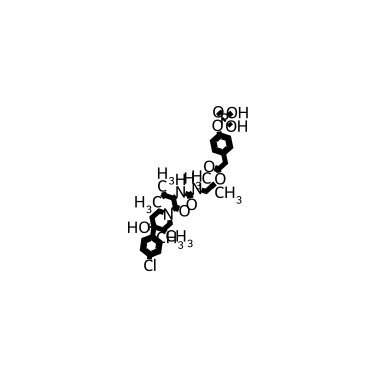 CC(C)C(NC(=O)NCC(C)(C)OC(=O)Cc1ccc(OP(=O)(O)O)cc1)C(=O)N1CC[C@](O)(c2ccc(Cl)cc2)C(C)(C)C1